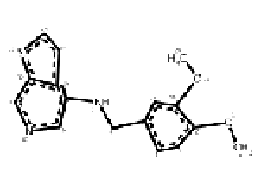 COc1ccc(CNc2cncc3sccc23)cc1OC